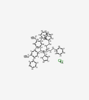 CC(C)(C)c1cc2c(cc1-c1ccccc1)[CH]([Zr+2]([C]1=CC=CC1)=[C](CCc1ccccc1)CCc1ccccc1)c1cc(-c3ccccc3)c(C(C)(C)C)cc1-2.[Cl-].[Cl-]